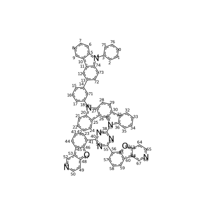 c1ccc(-n2c3ccccc3c3cc(-c4cccc(-n5c6ccccc6c6c5ccc5c7ccccc7n(-c7nc(-c8cccc9c8oc8ccncc89)nc(-c8cccc9c8oc8ccncc89)n7)c56)c4)ccc32)cc1